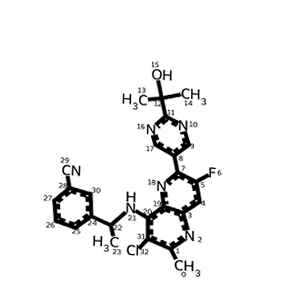 Cc1nc2cc(F)c(-c3cnc(C(C)(C)O)nc3)nc2c(NC(C)c2cccc(C#N)c2)c1Cl